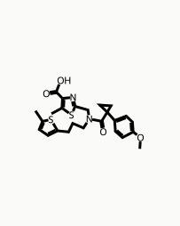 COc1ccc(C2(C(=O)N(CCCc3ccc(C)s3)Cc3nc(C(=O)O)c(C)s3)CC2)cc1